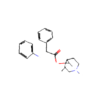 C[N+]12CCC(CC1)[C@@H](OC(=O)[C@H](Nc1ccccc1)c1ccccc1)C2